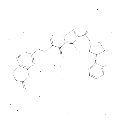 N=C(C(=O)NCc1ccc2c(c1)NC(=O)CO2)c1[nH]cc(C(=O)N2CCC(c3ccccc3F)C2)c1N